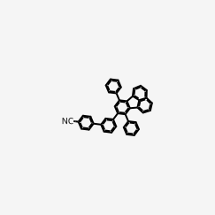 N#Cc1ccc(-c2cccc(-c3cc(-c4ccccc4)c4c(c3-c3ccccc3)-c3cccc5cccc-4c35)c2)cc1